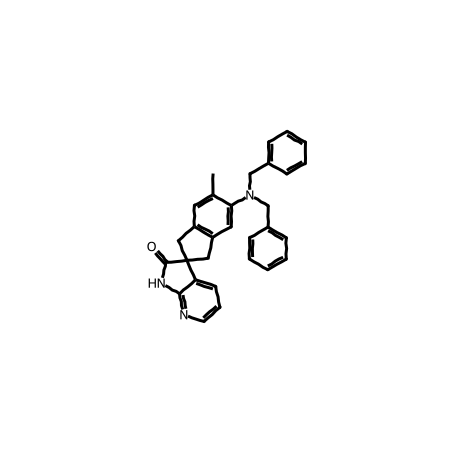 Cc1cc2c(cc1N(Cc1ccccc1)Cc1ccccc1)CC1(C2)C(=O)Nc2ncccc21